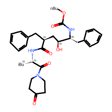 CCCCOC(=O)N[C@H](Cc1ccccc1)[C@@H](O)C[C@H](Cc1ccccc1)C(=O)N[C@H](C(=O)N1CCC(=O)CC1)[C@@H](C)CC